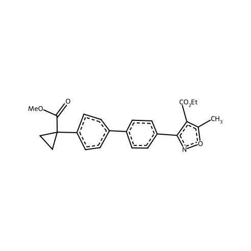 CCOC(=O)c1c(-c2ccc(-c3ccc(C4(C(=O)OC)CC4)cc3)cc2)noc1C